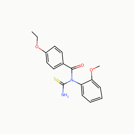 CCOc1ccc(C(=O)N(C(N)=S)c2ccccc2OC)cc1